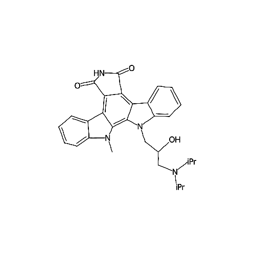 CC(C)N(CC(O)Cn1c2ccccc2c2c3c(c4c5ccccc5n(C)c4c21)C(=O)NC3=O)C(C)C